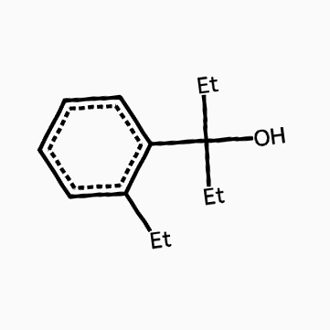 CCc1ccccc1C(O)(CC)CC